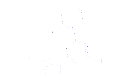 CC1COCCN1c1cc(NS(C)(=O)=O)cc(Cl)n1